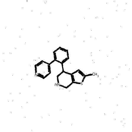 Cc1cc2c(s1)CNCC2c1ccccc1-c1ccncc1